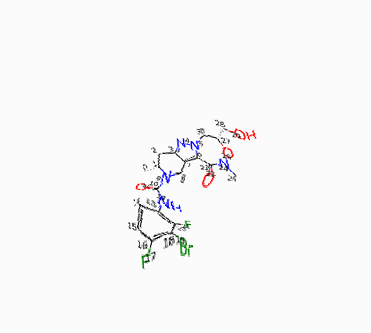 C[C@@H]1Cc2nn3c(c2CN1C(=O)Nc1ccc(F)c(Br)c1F)C(=O)N(C)O[C@@H](CO)C3